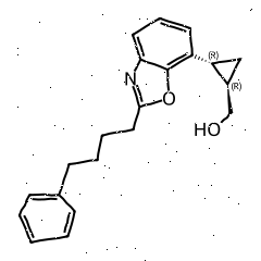 OC[C@@H]1C[C@H]1c1cccc2nc(CCCCc3ccccc3)oc12